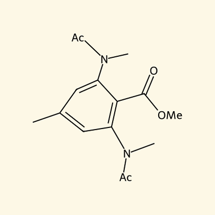 COC(=O)c1c(N(C)C(C)=O)cc(C)cc1N(C)C(C)=O